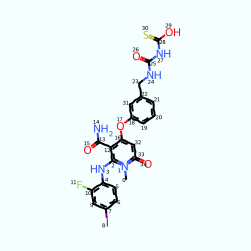 Cn1c(Nc2ccc(I)cc2F)c(C(N)=O)c(Oc2cccc(CNC(=O)NC(O)=S)c2)cc1=O